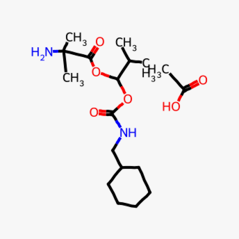 CC(=O)O.CC(C)C(OC(=O)NCC1CCCCC1)OC(=O)C(C)(C)N